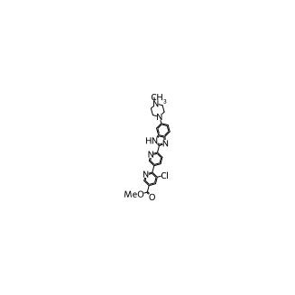 COC(=O)c1cnc(-c2ccc(-c3nc4ccc(N5CCN(C)CC5)cc4[nH]3)nc2)c(Cl)c1